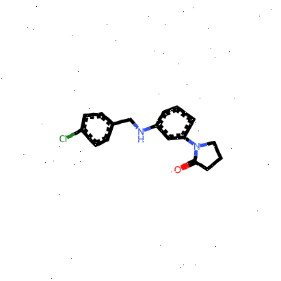 O=C1CCCN1c1cccc(NCc2ccc(Cl)cc2)c1